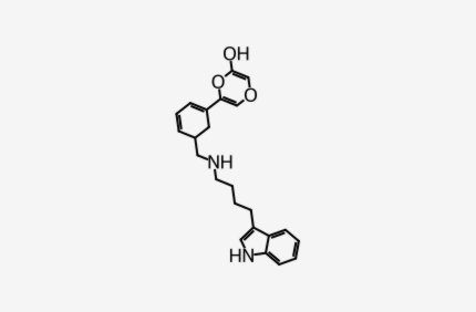 OC1=COC=C(C2=CC=CC(CNCCCCc3c[nH]c4ccccc34)C2)O1